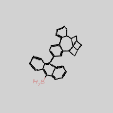 Bc1c2ccccc2c(-c2ccc3c(c2)C2CC4CC5CC(c6ccccc6-3)C542)c2ccccc12